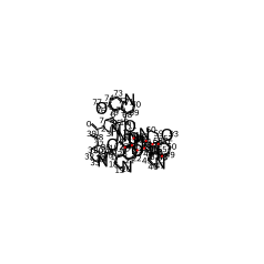 C=CC1C[N@@]2CCC1CC2C(Oc1nc(O[C@@H](c2ccnc3ccc(OC)cc23)C2CC3CC[N@]2CCC3C=C)cc(O[C@@H](c2ccnc3ccc(OC)cc23)[C@@H]2CC3CCN2CC[C@@H]3C=C)n1)c1ccnc2ccc(OC)cc12